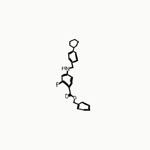 O=C(OCc1ccccc1)c1ccc(NCc2ccc(C3CCCCC3)cc2)cc1F